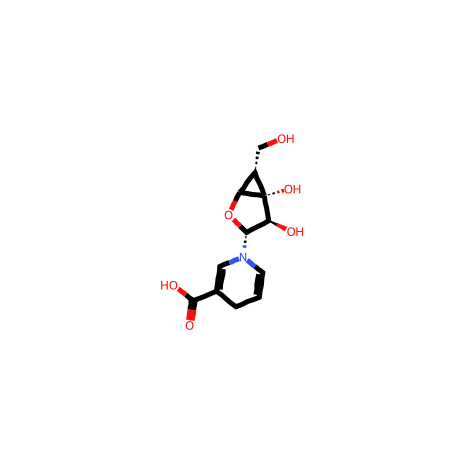 O=C(O)C1=CN([C@@H]2OC3[C@H](CO)[C@@]3(O)[C@H]2O)C=CC1